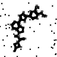 CC1CN(C(=O)N[C@H]2CCc3c(-c4cnc(-c5ccc(OC(C)C)c(C#N)c5)s4)cccc32)C1